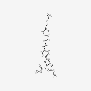 CCCCC[C@H]1CC[C@H](/C=C/CCc2ccc(C3O[C@H](OC(=O)OC)[C@@H](OC(=O)OC)O3)cc2)CC1